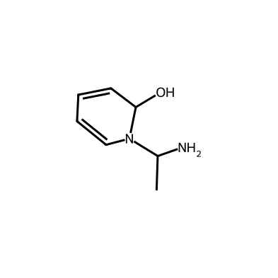 CC(N)N1C=CC=CC1O